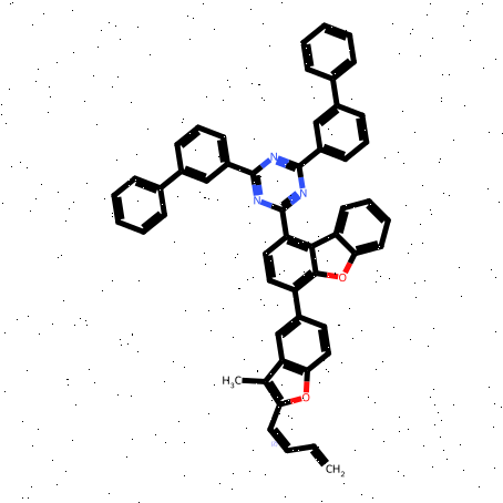 C=C/C=C\c1oc2ccc(-c3ccc(-c4nc(-c5cccc(-c6ccccc6)c5)nc(-c5cccc(-c6ccccc6)c5)n4)c4c3oc3ccccc34)cc2c1C